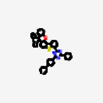 c1ccc(-c2ccc(-c3nc(-c4ccccc4)nc(-c4cccc5c4sc4ccc6c(c45)Oc4ccccc4C64c5ccccc5-c5ccccc54)n3)cc2)cc1